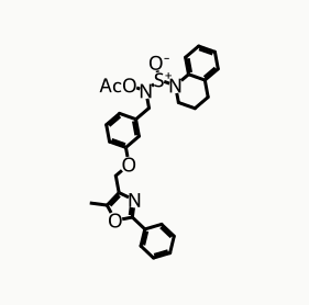 CC(=O)ON(Cc1cccc(OCc2nc(-c3ccccc3)oc2C)c1)[S+]([O-])N1CCCc2ccccc21